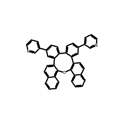 c1cncc(-c2ccc3c4ccc(-c5cccnc5)cc4c4ccc5ccccc5c4oc4c5ccccc5ccc4c3c2)c1